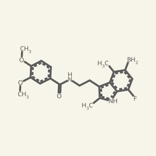 Bc1cc(F)c2[nH]c(C)c(CCNC(=O)c3ccc(OC)c(OC)c3)c2c1C